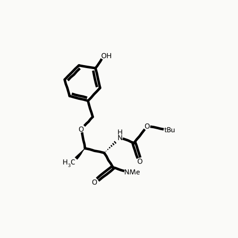 CNC(=O)[C@@H](NC(=O)OC(C)(C)C)[C@@H](C)OCc1cccc(O)c1